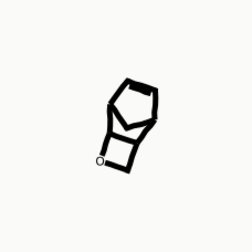 C1=CC2CC1C1COC21